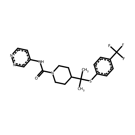 CC(C)(Sc1ccc(C(F)(F)F)cc1)C1CCN(C(=O)Nc2ccnnc2)CC1